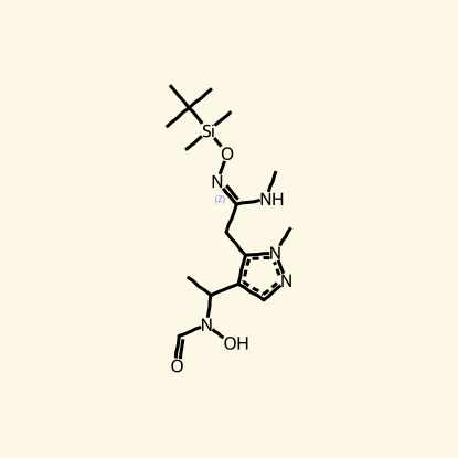 CN/C(Cc1c(C(C)N(O)C=O)cnn1C)=N\O[Si](C)(C)C(C)(C)C